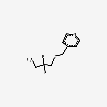 CCC(F)(F)COCc1ccncc1